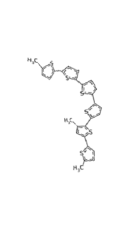 Cc1ccc(-c2ccc(-c3ccc(-c4ccc(-c5sc(-c6ccc(C)s6)cc5C)s4)s3)s2)s1